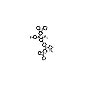 CC1CC2C(C=C1N(c1ccc(F)cc1)c1ccc(C3=CC(C)C(N(c4ccc(F)cc4)c4ccc5c(c4)c4ccccc4n5-c4ccccc4)C=C3)cc1)c1ccccc1N2c1ccccc1